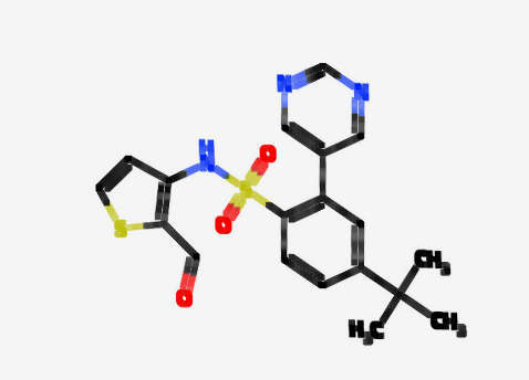 CC(C)(C)c1ccc(S(=O)(=O)Nc2ccsc2C=O)c(-c2cncnc2)c1